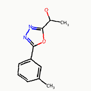 Cc1cccc(-c2nnc(C(C)[O])o2)c1